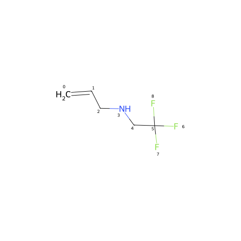 C=CCNCC(F)(F)F